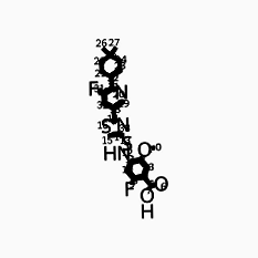 COc1cc(C(=O)O)c(F)cc1NSc1csc(-c2cnc(C3=CCC(C)(C)CC3)c(F)c2)n1